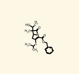 CC(C)SC1=C(C(=O)OCc2ccccc2)N2C(=O)C(C)(C(C)O)C2C1